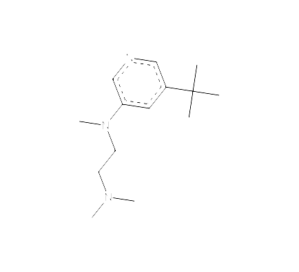 CN(C)CCN(C)c1cncc(C(C)(C)C)c1